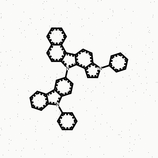 c1ccc(-n2ccc3c2ccc2c4c5ccccc5ccc4n(-c4ccc5c(c4)c4ccccc4n5-c4ccccc4)c23)cc1